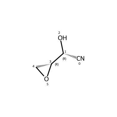 N#C[C@@H](O)[C@H]1CO1